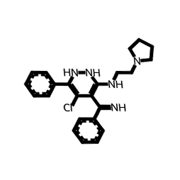 N=C(C1=C(NCCN2CCCC2)NNC(c2ccccc2)=C1Cl)c1ccccc1